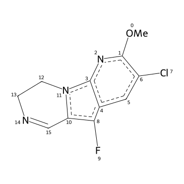 COc1nc2c(cc1Cl)c(F)c1n2CCN=C1